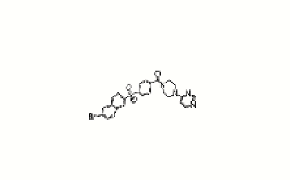 O=C(c1ccc(S(=O)(=O)c2ccc3cc(Br)ccc3c2)cc1)N1CCN(c2ccncn2)CC1